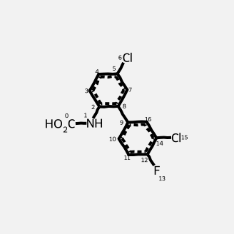 O=C(O)Nc1ccc(Cl)cc1-c1ccc(F)c(Cl)c1